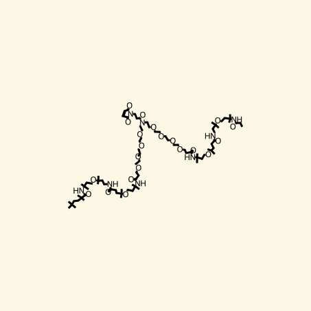 CCC(=O)NC(C)(C)CCOC(C)(C)CCNC(=O)CCC(C)(C)OCCC(C)(C)NC(=O)CCOCCOCCOCCOCCN(CCOCCOCCOCCOCCC(=O)NC(C)(C)CCOC(C)(C)CCC(=O)NCCC(C)(C)OCCC(C)(C)NC(=O)C(C)(C)CCC(C)(C)C)C(=O)CCN1C(=O)C=CC1=O